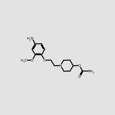 COc1cc(N)ccc1OCCN1CCC(OC(N)=O)CC1